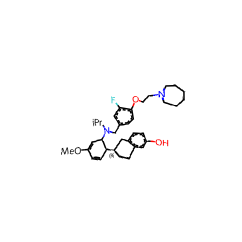 COC1=CC(N(Cc2ccc(OCCN3CCCCCC3)c(F)c2)C(C)C)C([C@@H]2CCc3cc(O)ccc3C2)C=C1